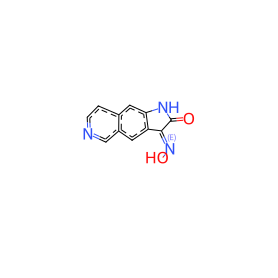 O=C1Nc2cc3ccncc3cc2/C1=N\O